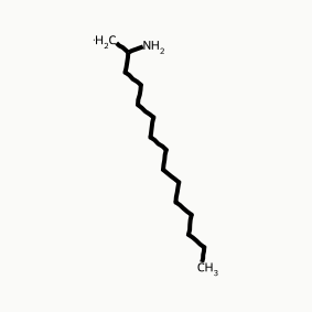 [CH2]C(N)CCCCCCCCCCCCC